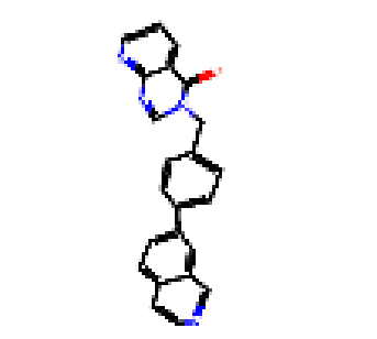 O=c1c2cccnc2ncn1Cc1ccc(-c2ccc3ccncc3c2)cc1